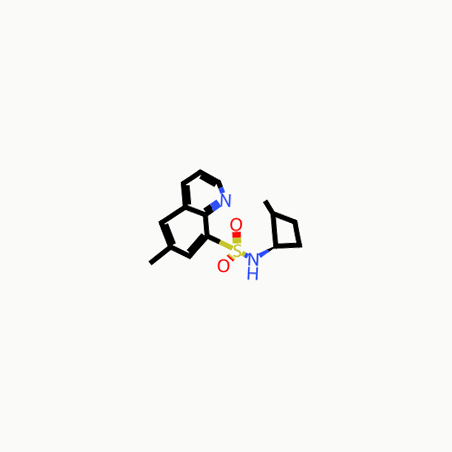 Cc1cc(S(=O)(=O)N[C@@H]2CCC2C)c2ncccc2c1